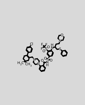 CC1(C)CCC(c2ccc(Cl)cc2)=C(CN2CCN(c3ccccc3C(=O)NS(=O)(=O)c3ccc(NC(CCN4CCOCC4)CSc4ccccc4)c(S(=O)(=O)C(F)(F)F)c3)CC2)C1